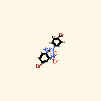 O=[N+]([O-])c1cc(Br)ccc1NNc1ccc(Br)cc1